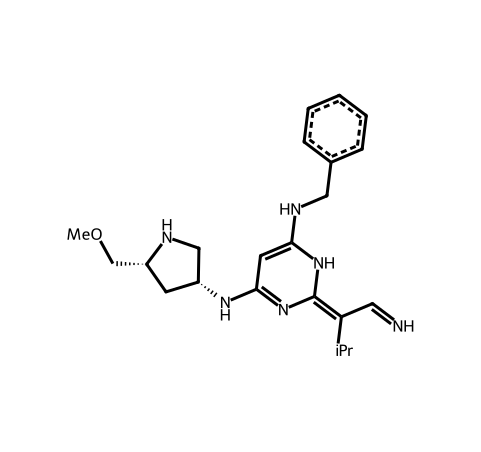 COC[C@H]1C[C@@H](NC2=N/C(=C(/C=N)C(C)C)NC(NCc3ccccc3)=C2)CN1